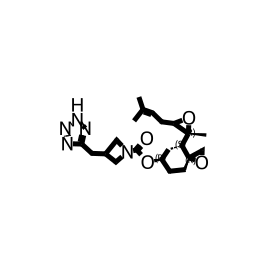 CC(C)=CCC1O[C@]1(C)[C@H]1C[C@H](OC(=O)N2CC(Cc3nn[nH]n3)C2)CC[C@]12CO2